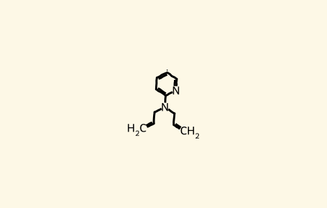 C=CCN(CC=C)c1cc[c]cn1